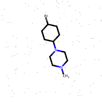 CC(=O)C1CCC(N2CCN(C)CC2)CC1